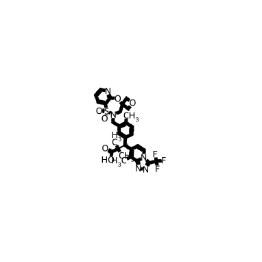 Cc1ccc([C@@H](c2ccn3c(C(F)(F)F)nnc3c2C)C(C)(C)C(=O)O)cc1CN1CC2(COC2)Oc2ncccc2S1(=O)=O